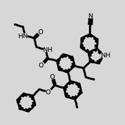 CCNC(=O)CNC(=O)c1ccc(C(CC)c2c[nH]c3cc(C#N)ccc23)c(-c2ccc(C)cc2C(=O)OCc2ccccc2)c1